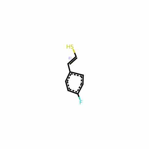 Fc1ccc(/C=C/S)cc1